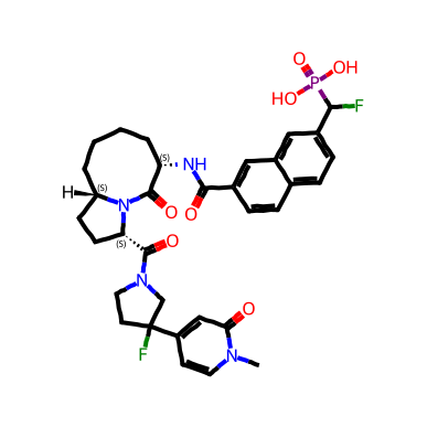 Cn1ccc(C2(F)CCN(C(=O)[C@@H]3CC[C@@H]4CCCC[C@H](NC(=O)c5ccc6ccc(C(F)P(=O)(O)O)cc6c5)C(=O)N43)C2)cc1=O